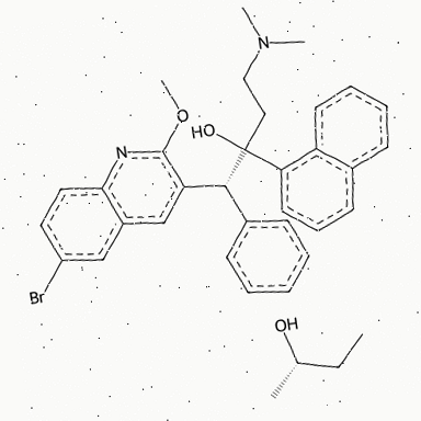 CC[C@H](C)O.COc1nc2ccc(Br)cc2cc1[C@@H](c1ccccc1)C(O)(CCN(C)C)c1cccc2ccccc12